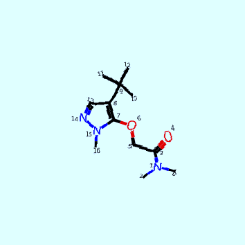 CN(C)C(=O)COc1c(C(C)(C)C)cnn1C